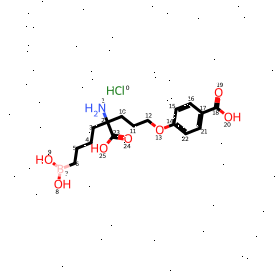 Cl.NC(CCCCB(O)O)(CCCOc1ccc(C(=O)O)cc1)C(=O)O